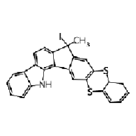 CC1(I)c2cc3c(cc2-c2c1ccc1c2[nH]c2ccccc21)SC1=CC=CCC1S3